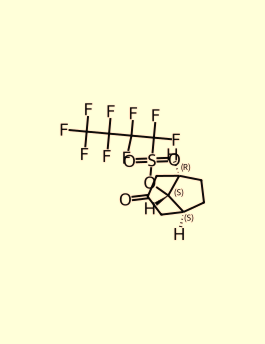 O=C1C[C@H]2CC[C@@H](C1)[C@@H]2OS(=O)(=O)C(F)(F)C(F)(F)C(F)(F)C(F)(F)F